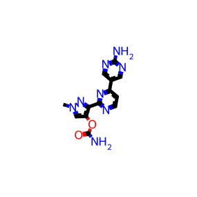 Cn1cc(OC(N)=O)c(-c2nccc(-c3cnc(N)nc3)n2)n1